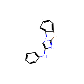 c1ccc(Nc2cn3c(n2)sc2ccccc23)cc1